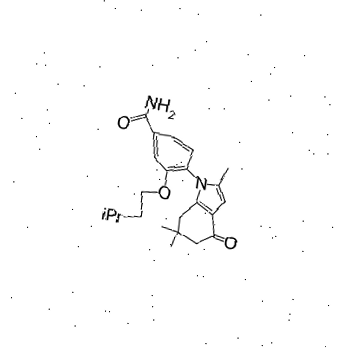 Cc1cc2c(n1-c1ccc(C(N)=O)cc1OCCC(C)C)CC(C)(C)CC2=O